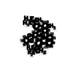 Cc1cc2c3c(c1)N(c1ccc(C(C)(C)C)cc1-c1ccccc1)c1cc4c(cc1B3N(c1ccc(C(C)(C)C)cc1-c1ccccc1)c1ccccc1-2)Oc1ccccc1O4